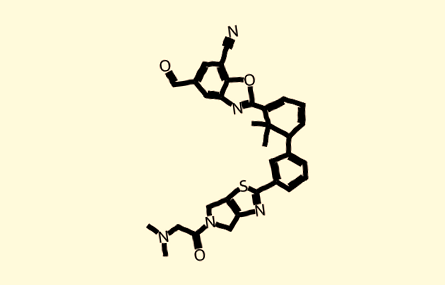 CN(C)CC(=O)N1Cc2nc(-c3cccc(C4C=CC=C(c5nc6cc(C=O)cc(C#N)c6o5)C4(C)C)c3)sc2C1